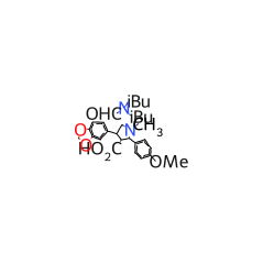 CCC(C)N(C=O)C(C)CC.COc1ccc(C2C(C(=O)O)C(c3ccc4c(c3)OCO4)CN2C)cc1